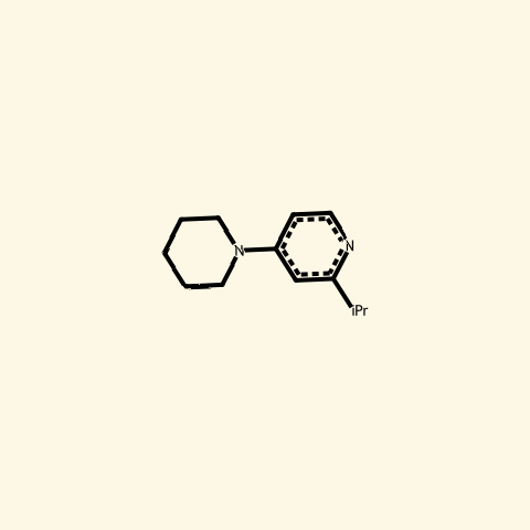 CC(C)c1cc(N2CCCCC2)ccn1